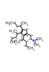 CCCC(C)C1=C(C(C)CCC)C(C(C)CCC)=C(CCN(C)C)C1